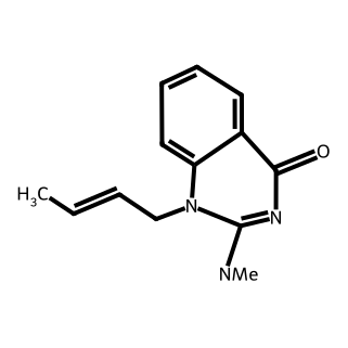 CC=CCn1c(NC)nc(=O)c2ccccc21